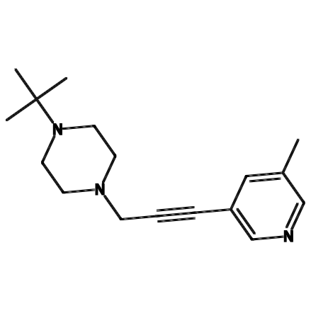 Cc1cncc(C#CCN2CCN(C(C)(C)C)CC2)c1